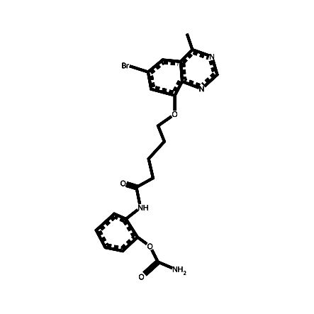 Cc1ncnc2c(OCCCCC(=O)Nc3ccccc3OC(N)=O)cc(Br)cc12